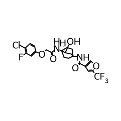 O=C(COc1ccc(Cl)c(F)c1)NC12CCC(NC(=O)c3coc(C(F)(F)F)c3)(CC1)C[C@@H]2O